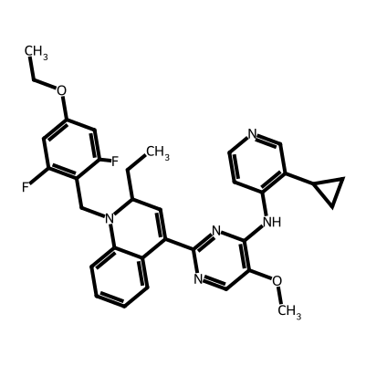 CCOc1cc(F)c(CN2c3ccccc3C(c3ncc(OC)c(Nc4ccncc4C4CC4)n3)=CC2CC)c(F)c1